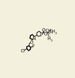 CC(C)(C)OC(=O)N1CCC(c2cccc(OCc3cc(Cl)ccc3F)n2)CC1